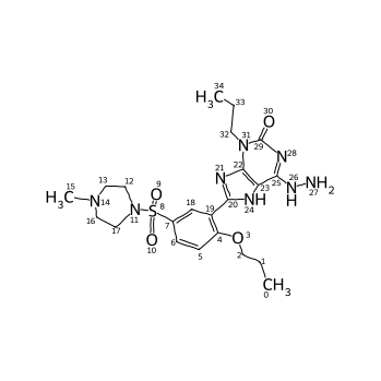 CCCOc1ccc(S(=O)(=O)N2CCN(C)CC2)cc1-c1nc2c([nH]1)c(NN)nc(=O)n2CCC